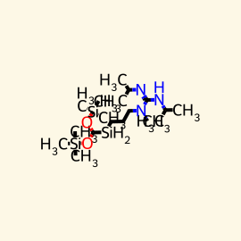 CC(C)N=C(NC(C)C)N(C)CCC[SiH2]C(O[Si](C)(C)C)O[Si](C)(C)C